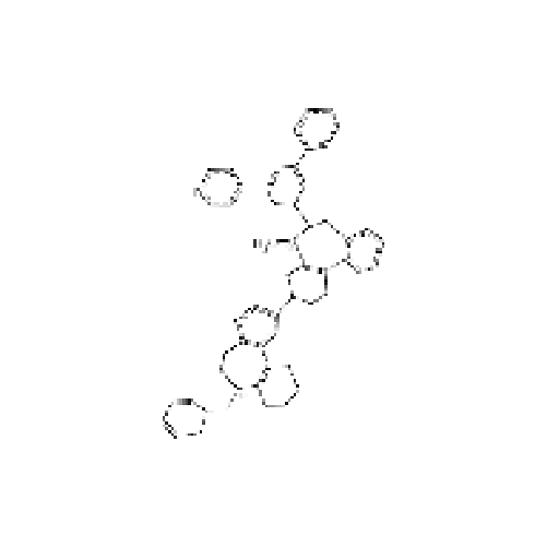 C[C@@H]1C2=C(CCC(c3ccc4c(c3)C3=C(C=CCC3)[C@H](CC3C=CC=CC3)CC4)C2)c2ccccc2CC1C1C=C(c2ccccc2)C=C(c2ccncc2)C1